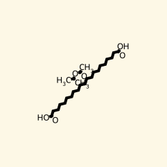 CC(=O)OC(C)C.O=C(O)CCCCCCCCCCCCCCCCCCCC(=O)O